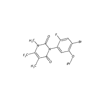 Cc1c(C(F)(F)F)n(C)c(=O)n(-c2cc(OC(C)C)c(Br)cc2F)c1=O